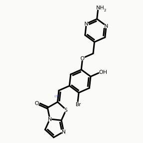 Nc1ncc(COc2cc(/C=c3\sc4nccn4c3=O)c(Br)cc2O)cn1